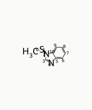 CSn1cnc2ccccc21